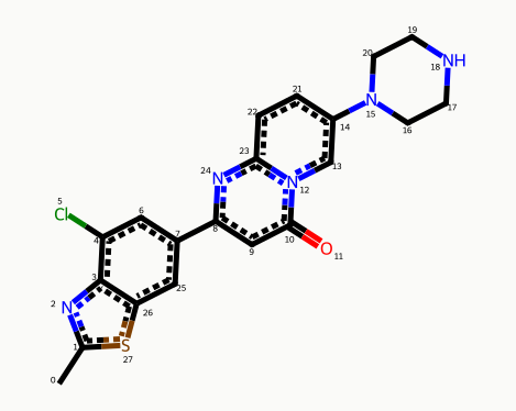 Cc1nc2c(Cl)cc(-c3cc(=O)n4cc(N5CCNCC5)ccc4n3)cc2s1